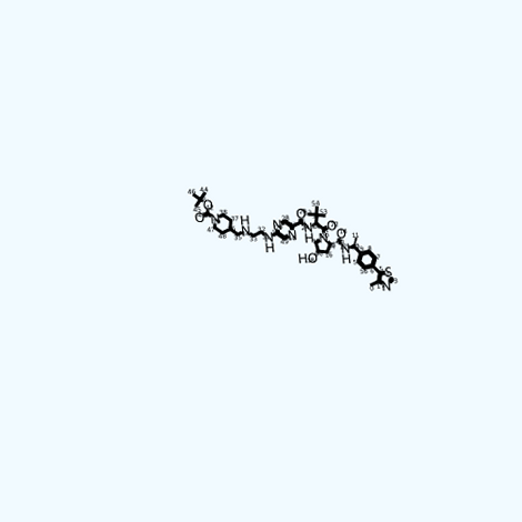 Cc1ncsc1-c1ccc([C@H](C)NC(=O)[C@@H]2C[C@@H](O)CN2C(=O)[C@@H](NC(=O)c2cnc(NCCNCC3CCN(C(=O)OC(C)(C)C)CC3)cn2)C(C)(C)C)cc1